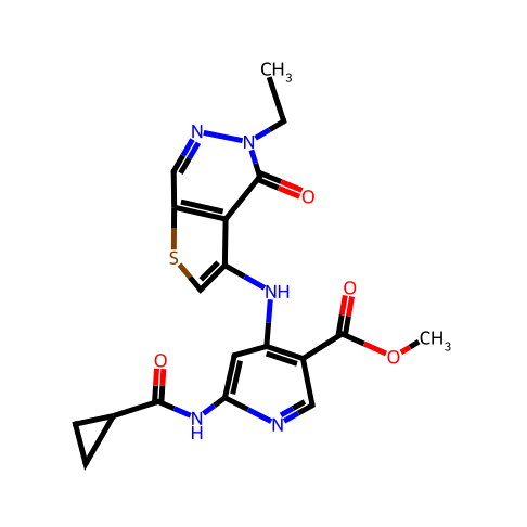 CCn1ncc2scc(Nc3cc(NC(=O)C4CC4)ncc3C(=O)OC)c2c1=O